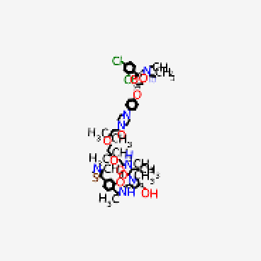 C=CN(/C=C\C)C[C@]1(c2ccc(Cl)cc2Cl)OC[C@H](COc2ccc(N3CCN(C(=O)CC(C)(C)OCCC(C)(C)OCC(=O)NC(C(=O)N4C[C@H](CO)C[C@H]4C(=O)NC(C)c4ccc(-c5scnc5C)cc4)C(C)(C)C)CC3)cc2)O1